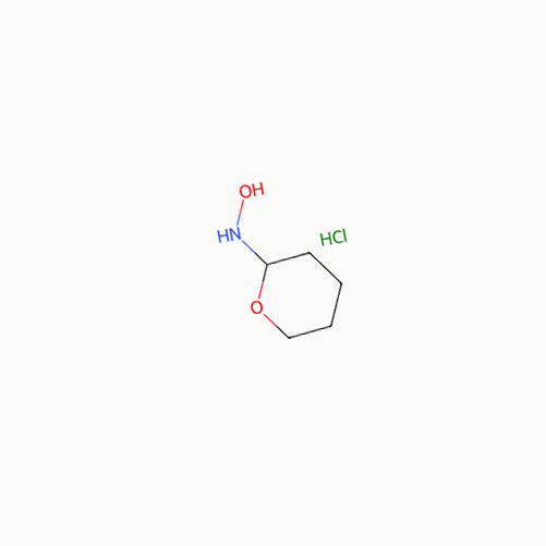 Cl.ONC1CCCCO1